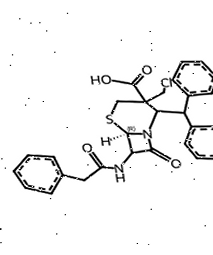 O=C(Cc1ccccc1)NC1C(=O)N2C(C(c3ccccc3)c3ccccc3)C(CCl)(C(=O)O)CS[C@H]12